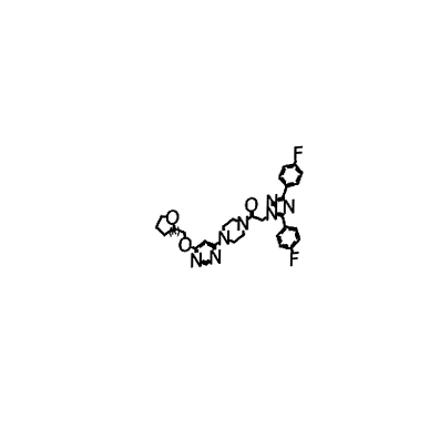 O=C(Cn1nc(-c2ccc(F)cc2)nc1-c1ccc(F)cc1)N1CCN(c2cc(OC[C@H]3CCCO3)ncn2)CC1